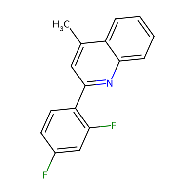 Cc1cc(-c2ccc(F)cc2F)nc2ccccc12